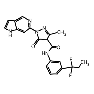 CCC(F)(F)c1cccc(NC(=O)C2C(=O)N(c3cc4[nH]ccc4cn3)N=C2C)c1